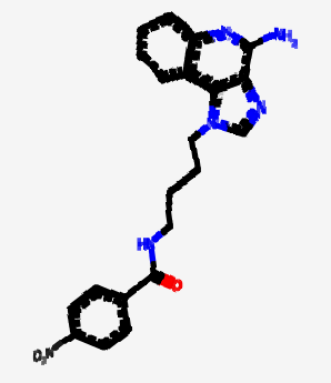 Nc1nc2ccccc2c2c1ncn2CCCCNC(=O)c1ccc([N+](=O)[O-])cc1